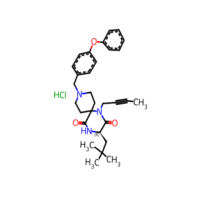 CC#CCN1C(=O)[C@@H](CC(C)(C)C)NC(=O)C12CCN(Cc1ccc(Oc3ccccc3)cc1)CC2.Cl